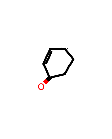 O=C1C=C[CH]CC1